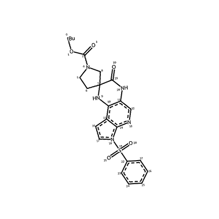 CC(C)(C)OC(=O)N1CCC2(C1)Nc1c(cnc3c1ccn3S(=O)(=O)c1ccccc1)NC2=O